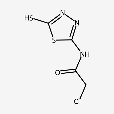 O=C(CCl)Nc1nnc(S)s1